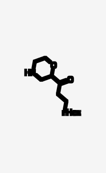 CCCCCCCCC(=O)C1CNCCO1